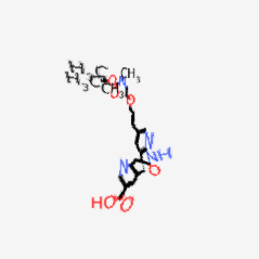 CN(CCOC/C=C/c1cnc2c(c1)[C@@]1(Cc3cc(C(=O)O)cnc3C1)C(=O)N2)C(=O)OC(C)(C)C